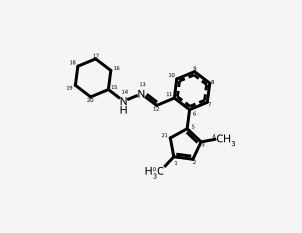 CC1=CC(C)=C(c2ccccc2C=NNC2CCCCC2)C1